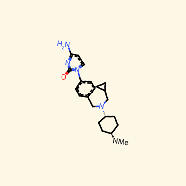 CN[C@H]1CC[C@H](N(Cc2ccc(-n3ccc(N)nc3=O)cc2)CC2CC2)CC1